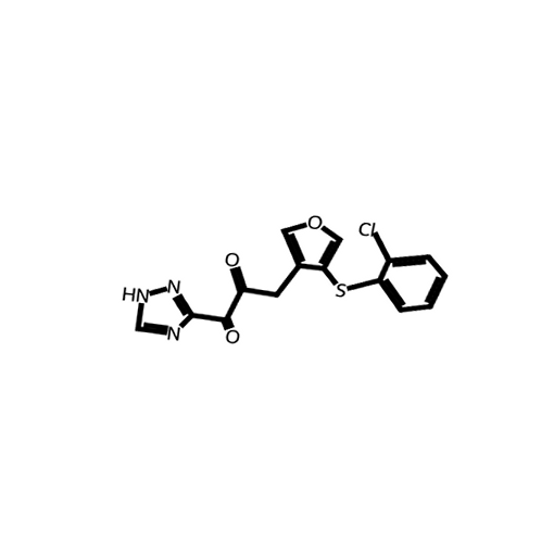 O=C(Cc1cocc1Sc1ccccc1Cl)C(=O)c1nc[nH]n1